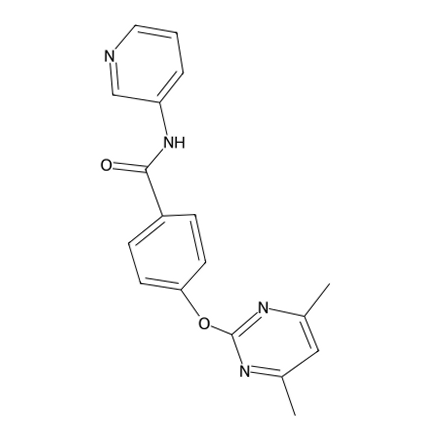 Cc1cc(C)nc(Oc2ccc(C(=O)Nc3cccnc3)cc2)n1